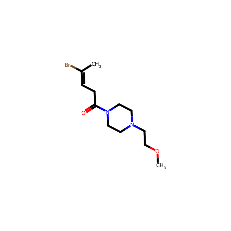 COCCN1CCN(C(=O)C/C=C(\C)Br)CC1